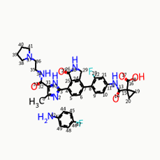 Cc1nc(-c2ccc(-c3ccc(NC(=O)C4(C(=O)O)CC4)cc3F)c3c2C(=O)NC3)[nH]c1C(=O)NCCN1CCCC1.Nc1ccc(F)cc1